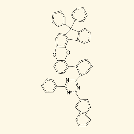 c1ccc(-c2nc(-c3ccc4ccccc4c3)nc(-c3ccccc3-c3cccc4c3Oc3c(ccc5c3-c3ccccc3C5(c3ccccc3)c3ccccc3)O4)n2)cc1